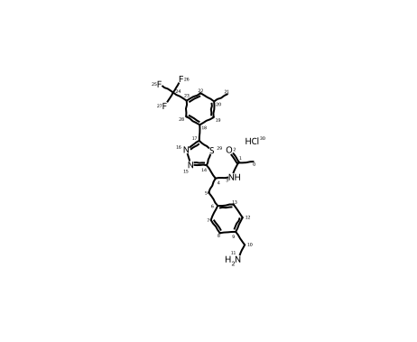 CC(=O)NC(Cc1ccc(CN)cc1)c1nnc(-c2cc(C)cc(C(F)(F)F)c2)s1.Cl